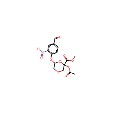 COC(=O)C1(OC(C)=O)COCC(Oc2ccc(C=O)cc2[N+](=O)[O-])O1